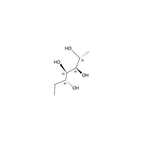 CC[C@@H](O)[C@@H](O)[C@H](O)[C@@H](C)O